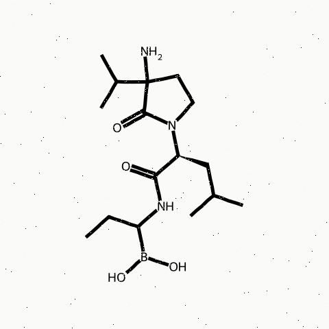 CCC(NC(=O)[C@H](CC(C)C)N1CCC(N)(C(C)C)C1=O)B(O)O